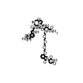 CN1CC[C@H]2CC[C@@H](C(=O)NC(CCC(N)=O)C(=O)NCCOCCOCCOCCOc3cccc4c3CN(C3CCC(=O)NC3=O)C4=O)N2C(=O)[C@@H](NC(=O)c2cc3cc(C(F)(F)P(=O)(O)O)ccc3[nH]2)C1